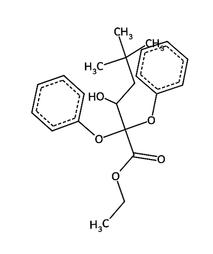 CCOC(=O)C(Oc1ccccc1)(Oc1ccccc1)C(O)CC(C)(C)C